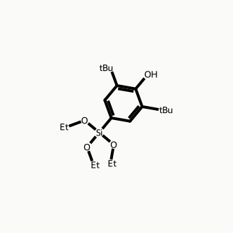 CCO[Si](OCC)(OCC)c1cc(C(C)(C)C)c(O)c(C(C)(C)C)c1